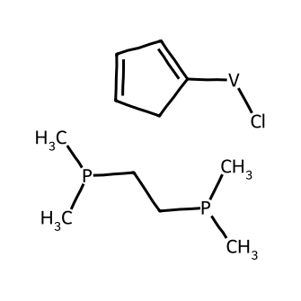 CP(C)CCP(C)C.[Cl][V][C]1=CC=CC1